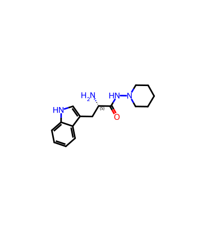 N[C@@H](Cc1c[nH]c2ccccc12)C(=O)NN1CCCCC1